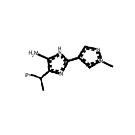 CC(C)C(C)c1nc(-c2cnn(C)c2)[nH]c1N